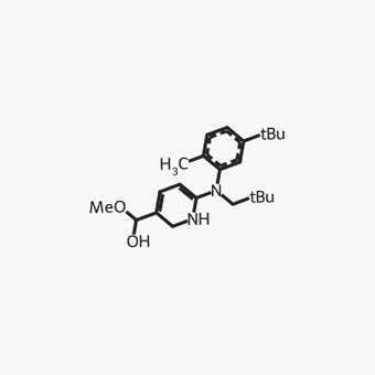 COC(O)C1=CC=C(N(CC(C)(C)C)c2cc(C(C)(C)C)ccc2C)NC1